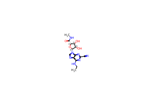 CCNc1nc(C#N)nc2c1ncn2[C@@H]1O[C@H](C(=O)NC)[C@@H](O)[C@H]1O